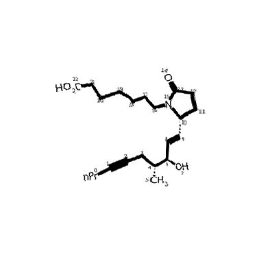 CCCC#CC[C@@H](C)[C@H](O)/C=C/[C@H]1CCC(=O)N1CCCCCCC(=O)O